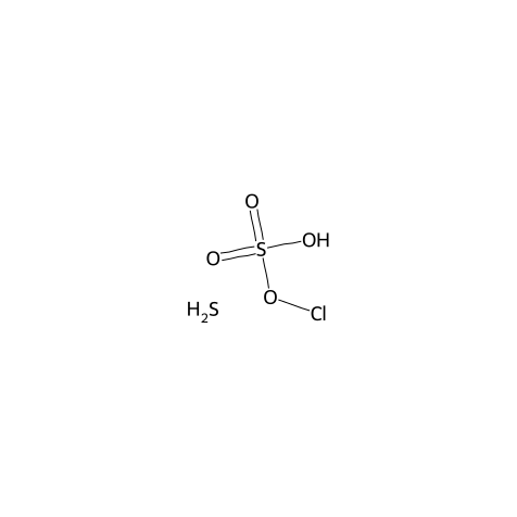 O=S(=O)(O)OCl.S